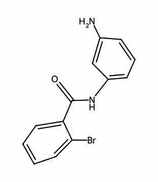 Nc1cccc(NC(=O)c2ccccc2Br)c1